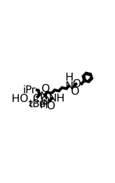 CC(C)CC(NC(=O)C(CCCCNC(=O)OCc1ccccc1)NC(=O)OC(C)(C)C)C(=O)O